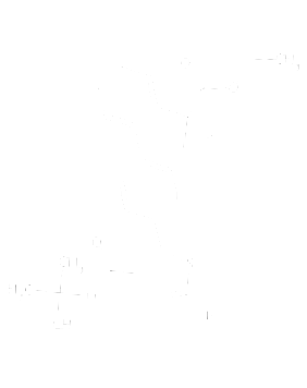 CCOC(=O)C1(c2ccccc2-c2ccc(-c3sc(F)cc3C(=O)OC(C)(C)C)cc2)CC1